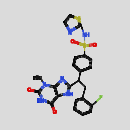 CCCCn1c(=O)[nH]c(=O)c2[nH]c(C(Cc3ccccc3F)c3ccc(S(=O)(=O)Nc4nccs4)cc3)nc21